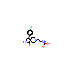 O=C(O)NCCN1CCC2(CC1)C(=O)NCC2c1ccc(F)cc1